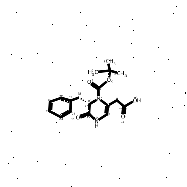 CC(C)(C)OC(=O)N1C(CC(=O)O)=CNC(=O)[C@@H]1Cc1ccccc1